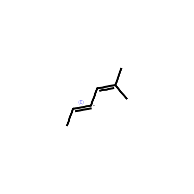 C/C=[C]/C=C(C)C